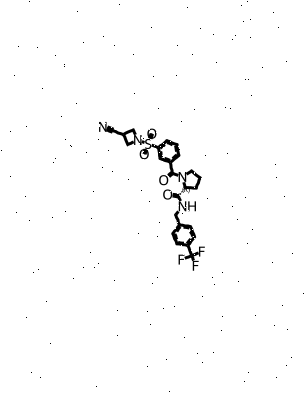 N#CC1CN(S(=O)(=O)c2cccc(C(=O)N3CCC[C@@H]3C(=O)NCc3ccc(C(F)(F)F)cc3)c2)C1